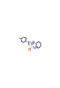 Cc1ccc(/C=C/S(=O)(=O)Nc2ccccc2N)cc1